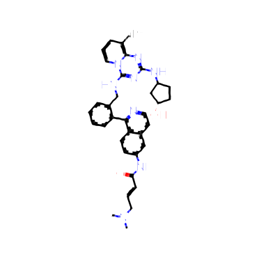 CC(C)C1=C2N=C(NC3CC[C@H](O)C3)N=C(NCc3ccccc3-c3nccc4cc(NC(=O)/C=C/CN(C)C)ccc34)N2C=C=C1